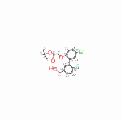 CC(C)(C)OC(=O)COc1ccc(Cl)cc1-c1cc(CO)ccc1F